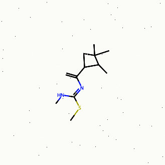 C=C(/N=C(\NC)SC)C1CC(C)(C)C1C